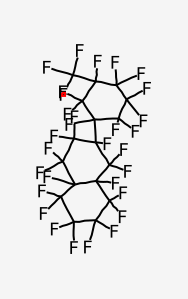 FC(F)(F)C1(F)C(F)(F)C(F)(F)C(F)(F)C(F)(C2(F)C(F)(F)C(F)(F)C3(F)C(F)(F)C(F)(F)C(F)(F)C(F)(F)C3(F)C2(F)F)C1(F)F